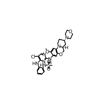 COc1cc2c(cc1Nc1ncc(Cl)c(Nc3ccccc3NS(C)(=O)=O)n1)OC[C@@H]1C[C@@H](N3CCOCC3)CCN21